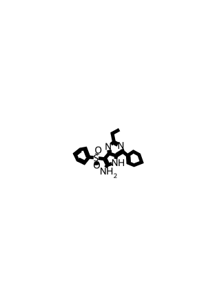 CCc1nc(C2=CCCCC2)c2[nH]c(N)c(S(=O)(=O)c3ccccc3)c2n1